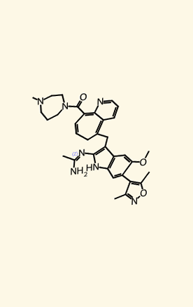 COc1cc2c(CC3=c4cccnc4=C(C(=O)N4CCCN(C)CC4)C=CC3)c(/N=C(/C)N)[nH]c2cc1-c1c(C)noc1C